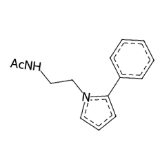 CC(=O)NCCn1cccc1-c1ccccc1